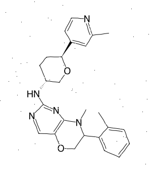 Cc1cc([C@@H]2CC[C@@H](Nc3ncc4c(n3)N(C)C(c3ccccc3C)CO4)CO2)ccn1